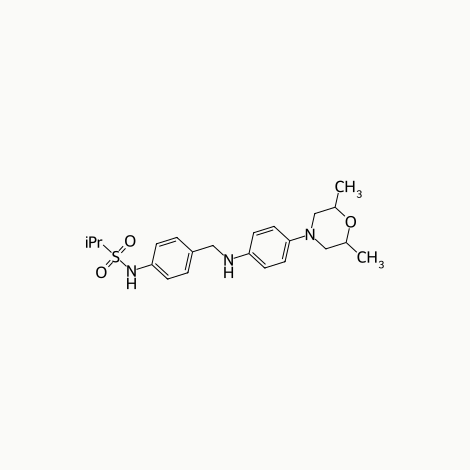 CC1CN(c2ccc(NCc3ccc(NS(=O)(=O)C(C)C)cc3)cc2)CC(C)O1